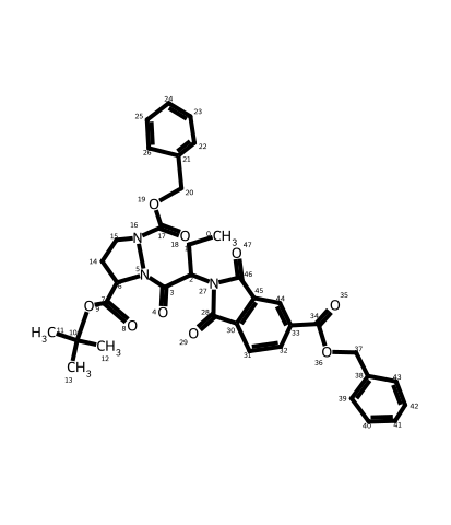 CCC(C(=O)N1C(C(=O)OC(C)(C)C)CCN1C(=O)OCc1ccccc1)N1C(=O)c2ccc(C(=O)OCc3ccccc3)cc2C1=O